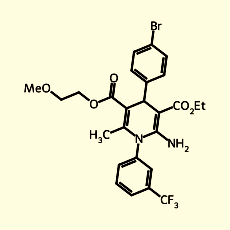 CCOC(=O)C1=C(N)N(c2cccc(C(F)(F)F)c2)C(C)=C(C(=O)OCCOC)C1c1ccc(Br)cc1